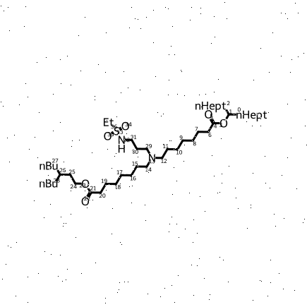 CCCCCCCC(CCCCCCC)OC(=O)CCCCCCCN(CCCCCCCC(=O)OCCC(CCCC)CCCC)CCCNS(=O)(=O)CC